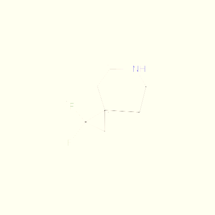 FC1(F)CC12CCNCC2